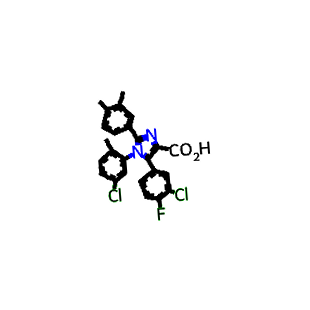 Cc1ccc(-c2nc(C(=O)O)c(-c3ccc(F)c(Cl)c3)n2-c2cc(Cl)ccc2C)cc1C